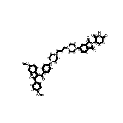 COc1ccc(-c2sc3cc(OC)ccc3c2C(=O)c2ccc(N3CCN(CCCN4CCN(c5ccc6c(c5)C(=O)N(C5CCC(=O)NC5=O)C6=O)CC4)CC3)cc2)cc1